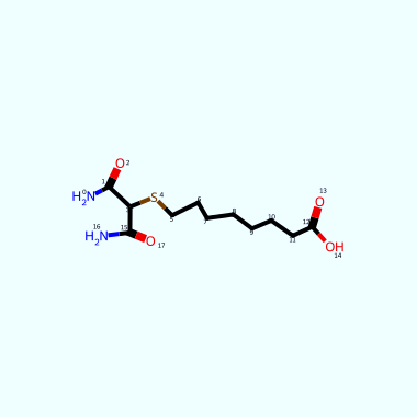 NC(=O)C(SCCCCCCCC(=O)O)C(N)=O